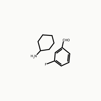 NC1CCCCC1.O=Cc1cccc(F)c1